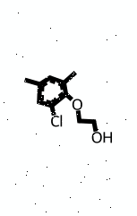 Cc1cc(C)c(OCCO)c(Cl)c1